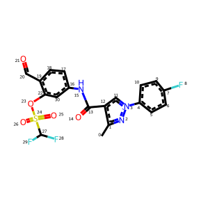 Cc1nn(-c2ccc(F)cc2)cc1C(=O)Nc1ccc(C=O)c(OS(=O)(=O)C(F)F)c1